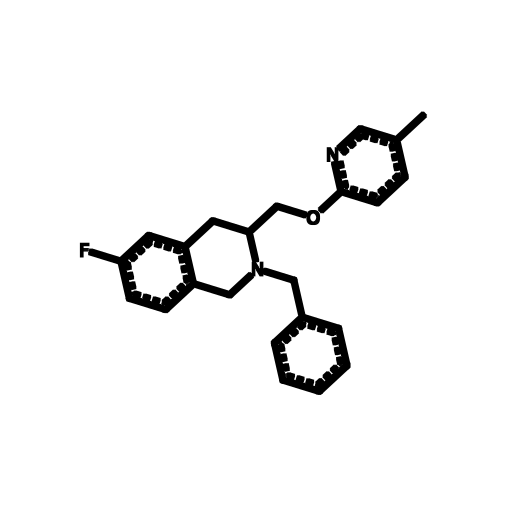 Cc1ccc(OCC2Cc3cc(F)ccc3CN2Cc2ccccc2)nc1